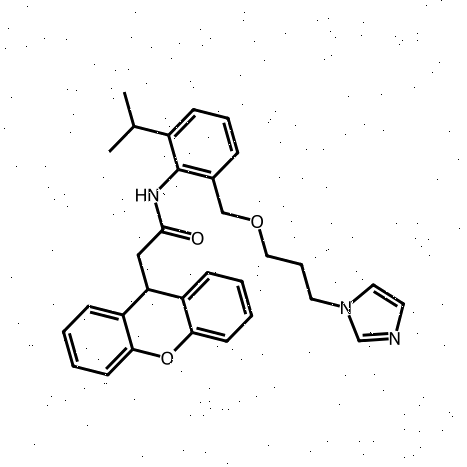 CC(C)c1cccc(COCCCn2ccnc2)c1NC(=O)CC1c2ccccc2Oc2ccccc21